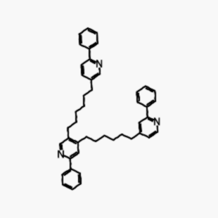 c1ccc(-c2ccc(CCCCCCc3cnc(-c4ccccc4)cc3CCCCCCc3ccnc(-c4ccccc4)c3)cn2)cc1